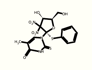 Cc1cn([C@]2(Sc3ccccc3)O[C@H](CO)[C@@H](O)C2([N+](=O)[O-])[N+](=O)[O-])c(=S)[nH]c1=O